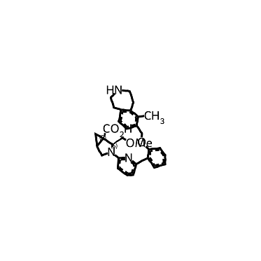 COC[C@H]1N(c2cccc(-c3ccccc3OCc3ccc4c(c3C)CCNCC4)n2)CC2C[C@@]21C(=O)O